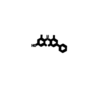 Cc1cc(O)cc(C)c1Bc1c(C)cc(-c2ccccc2)cc1C